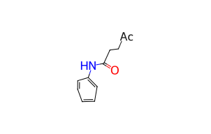 CC(=O)CCC(=O)Nc1ccccc1